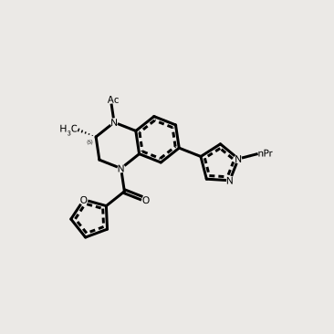 CCCn1cc(-c2ccc3c(c2)N(C(=O)c2ccco2)C[C@H](C)N3C(C)=O)cn1